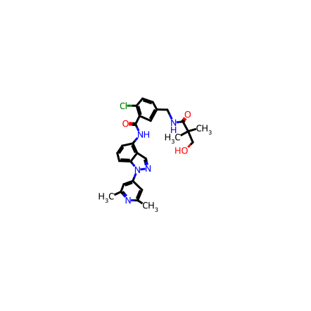 Cc1cc(-n2ncc3c(NC(=O)c4cc(CNC(=O)C(C)(C)CO)ccc4Cl)cccc32)cc(C)n1